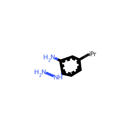 CC(C)c1ccc(NN)c(N)c1